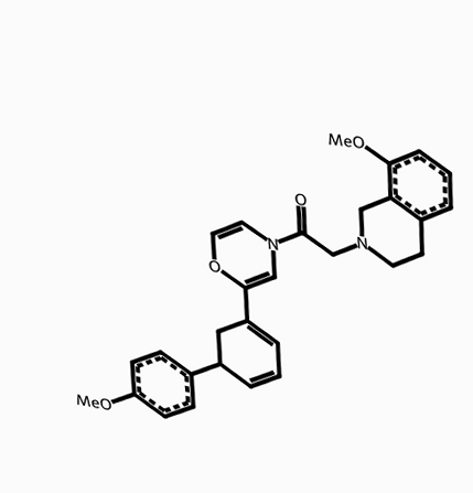 COc1ccc(C2C=CC=C(C3=CN(C(=O)CN4CCc5cccc(OC)c5C4)C=CO3)C2)cc1